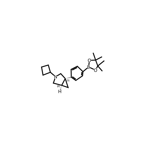 CC1(C)OB(c2ccc([C@]34C[C@H]3CN(C3CCC3)C4)cc2)OC1(C)C